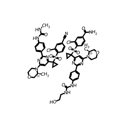 CNC(=O)Nc1ccc(-c2nc(N3CCOC[C@@H]3C)cc(C3(S(=O)(=O)c4ccc(C#N)cc4Cl)CC3)n2)cc1.C[C@H]1COCCN1c1cc(C2(S(=O)(=O)c3ccc(C(N)=O)cc3Cl)CC2)nc(-c2ccc(NC(=O)NCCO)cc2)n1